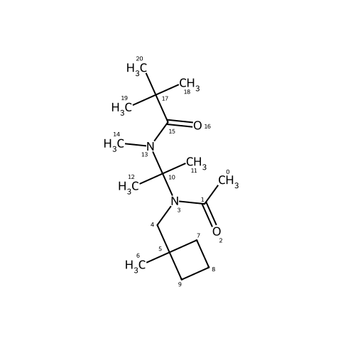 CC(=O)N(CC1(C)CCC1)C(C)(C)N(C)C(=O)C(C)(C)C